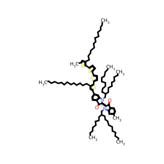 CCCCCCCCCCCCCCc1cc(C)sc1-c1ccc(-c2ccc(-c3sc(-c4ccc5c(c4)N(CC(CCCCCCCC)CCCCCCCCCC)/C(=C4\C(=O)c6ccc(C)cc6N4CC(CCCCCCCC)CCCCCCCCCC)C5=O)cc3CCCCCCCCCCCCCC)s2)s1